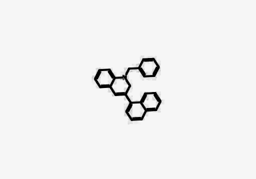 C1=C(c2cccc3ccccc23)CN(Cc2ccccc2)c2ccccc21